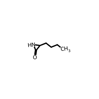 CCCCC1NC1=O